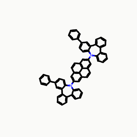 c1ccc(-c2ccc3c(c2)-c2ccccc2-c2ccccc2N3c2cc3ccc4cc(N5c6ccccc6-c6ccccc6-c6cc(-c7ccccc7)ccc65)cc5ccc(c2)c3c45)cc1